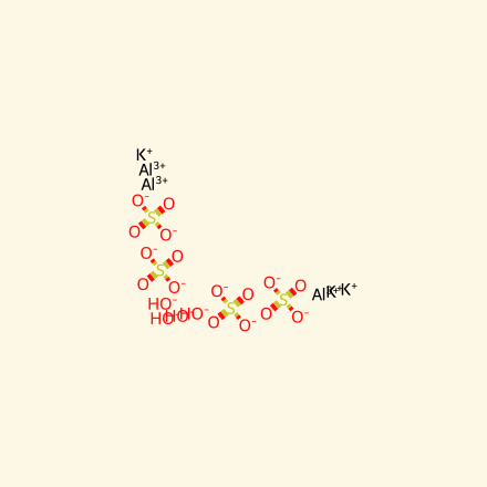 O=S(=O)([O-])[O-].O=S(=O)([O-])[O-].O=S(=O)([O-])[O-].O=S(=O)([O-])[O-].[Al+3].[Al+3].[Al+3].[K+].[K+].[K+].[OH-].[OH-].[OH-].[OH-]